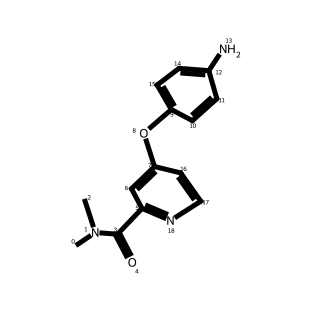 CN(C)C(=O)c1cc(Oc2ccc(N)cc2)ccn1